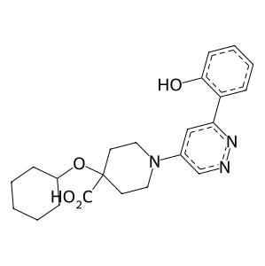 O=C(O)C1(OC2CCCCC2)CCN(c2cnnc(-c3ccccc3O)c2)CC1